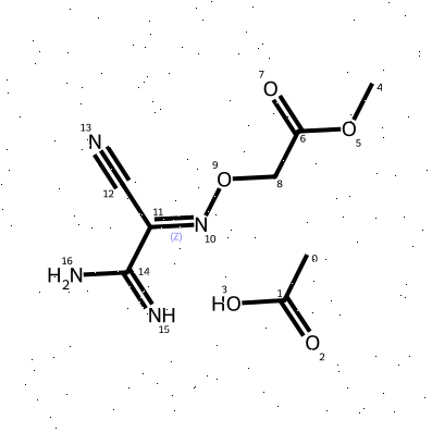 CC(=O)O.COC(=O)CO/N=C(\C#N)C(=N)N